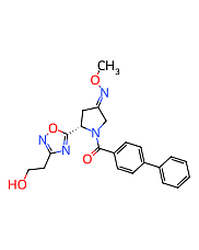 CO/N=C1\C[C@@H](c2nc(CCO)no2)N(C(=O)c2ccc(-c3ccccc3)cc2)C1